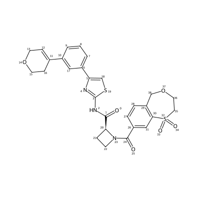 O=C(Nc1nc(-c2cccc(C3=CCOCC3)c2)cs1)[C@@H]1CCN1C(=O)c1ccc2c(c1)S(=O)(=O)CCOC2